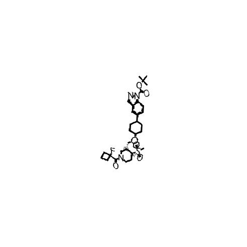 CC(C)(C)OC(=O)n1ncc2cc(C3CCC(OC[C@H]4CN(C(=O)C5(F)CCC5)CC[C@@H]4S(C)(=O)=O)CC3)ccc21